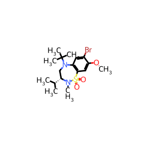 COc1cc2c(cc1Br)N(C(C)(C)C)C[C@@H](C(C)C)N(C)S2(=O)=O